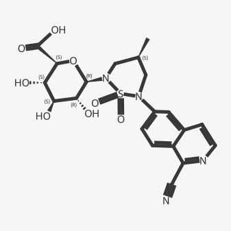 C[C@H]1CN(c2ccc3c(C#N)nccc3c2)S(=O)(=O)N([C@@H]2O[C@H](C(=O)O)[C@@H](O)[C@H](O)[C@H]2O)C1